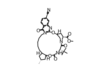 COC(=O)[C@@H]1C[C@@H]2CN1C(=O)[C@H](C(C)(C)C)NC(=O)O[C@@H]1C[C@H](C)C[C@H]1CCCCCn1c(nc3cc(C#N)ccc3c1=O)O2